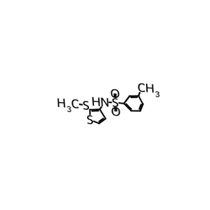 CSc1sccc1NS(=O)(=O)c1cccc(C)c1